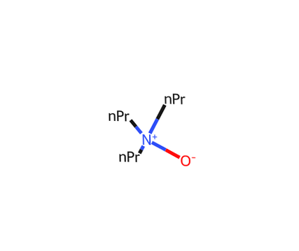 CCC[N+]([O-])(CCC)CCC